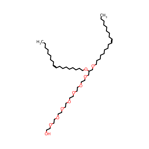 CCCCCCCC/C=C\CCCCCCCCOCC(COCCOCCOCCOCCOCCOCCOCCO)OCCCCCCCC/C=C\CCCCCCCC